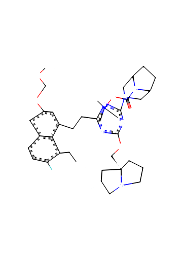 CCc1c(F)ccc2cc(OCOC)cc(CCc3nc(OC[C@@]45CCCN4C[C@H](F)C5)nc(N4CC5CCC(C4)N5C(=O)OC(C)(C)C)n3)c12